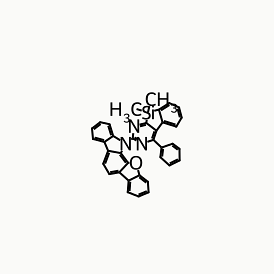 C[Si]1(C)c2ccccc2-c2c(-c3ccccc3)nc(-n3c4ccccc4c4ccc5c6ccccc6oc5c43)nc21